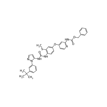 CSc1cc(Oc2ccnc(NC(=O)OCc3ccccc3)c2)ccc1NC(=O)Nc1ccnn1-c1cccc(C(C)(C)C)c1